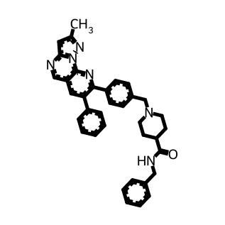 Cc1cc2ncc3cc(-c4ccccc4)c(-c4ccc(CN5CCC(C(=O)NCc6ccccc6)CC5)cc4)nc3n2n1